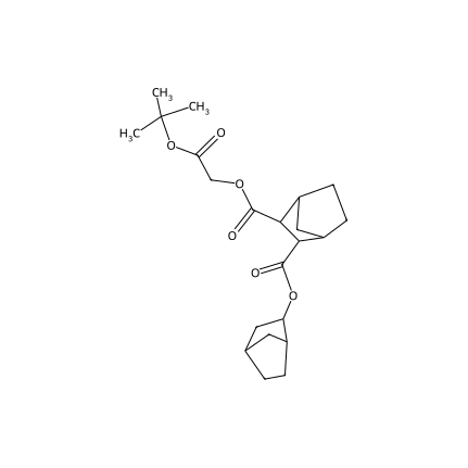 CC(C)(C)OC(=O)COC(=O)C1C2CCC(C2)C1C(=O)OC1CC2CCC1C2